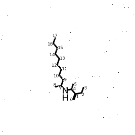 C=C(CC)C(C)NC(C)CCCCCCCCC